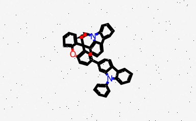 c1ccc(-n2c3ccccc3c3ccc(-c4ccc5c(c4)C4(c6ccccc6O5)c5ccccc5-n5c6ccccc6c6cccc4c65)cc32)cc1